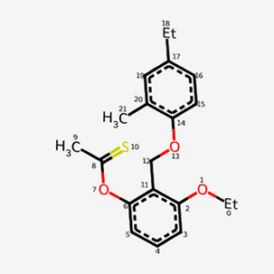 CCOc1cccc(OC(C)=S)c1COc1ccc(CC)cc1C